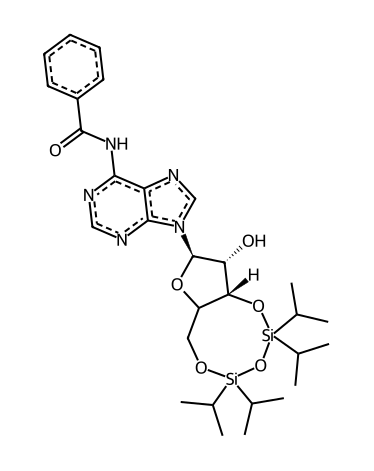 CC(C)[Si]1(C(C)C)OCC2O[C@@H](n3cnc4c(NC(=O)c5ccccc5)ncnc43)[C@H](O)[C@@H]2O[Si](C(C)C)(C(C)C)O1